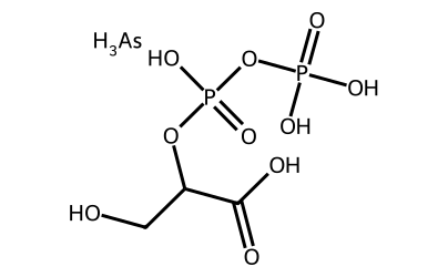 O=C(O)C(CO)OP(=O)(O)OP(=O)(O)O.[AsH3]